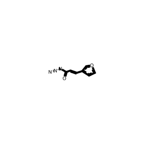 [N-]=[N+]=NC(=O)C=Cc1ccoc1